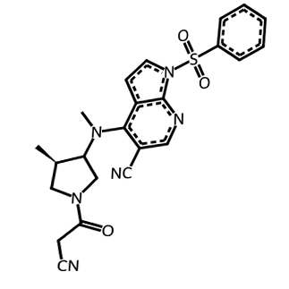 C[C@@H]1CN(C(=O)CC#N)CC1N(C)c1c(C#N)cnc2c1ccn2S(=O)(=O)c1ccccc1